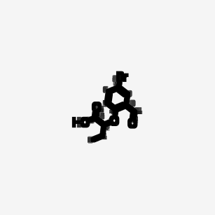 CCC(Oc1ccc(Br)cc1C=O)C(=O)O